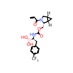 C=CC(=O)N1C[C@@H]2C[C@@H]2[C@@H]1COC(=O)N[C@@H](Cc1ccc(C(F)(F)F)cc1)B(O)O